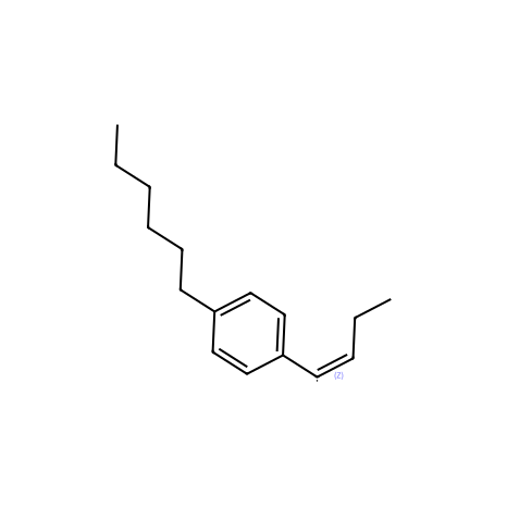 CC/C=[C]\c1ccc(CCCCCC)cc1